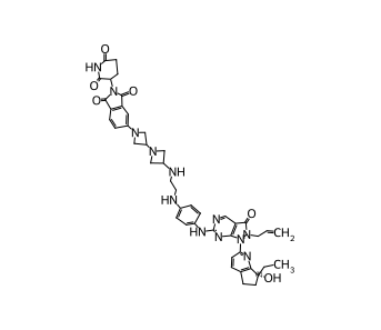 C=CCn1c(=O)c2cnc(Nc3ccc(NCCNC4CN(C5CN(c6ccc7c(c6)C(=O)N(C6CCC(=O)NC6=O)C7=O)C5)C4)cc3)nc2n1-c1ccc2c(n1)[C@@](O)(CC)CC2